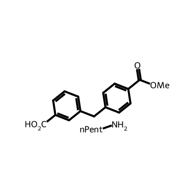 CCCCCN.COC(=O)c1ccc(Cc2cccc(C(=O)O)c2)cc1